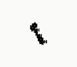 c1ccc2c(NCCCNCc3ccc4[nH]ccc4c3)ccnc2c1